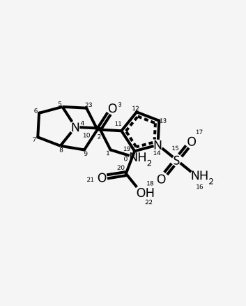 NCC(=O)N1C2CCC1CC(c1ccn(S(N)(=O)=O)c1C(=O)O)C2